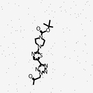 CC(=O)Cn1nnc(-c2cnc(N3CCN(C(=O)OC(C)(C)C)CC3)s2)n1